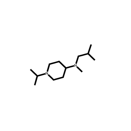 CC(C)CN(C)C1CCN(C(C)C)CC1